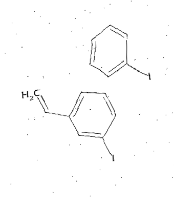 C=Cc1cccc(I)c1.Ic1ccccc1